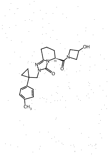 Cc1ccc(C2(Cn3nc4n(c3=O)[C@H](C(=O)N3CC(O)C3)CCC4)CC2)cc1